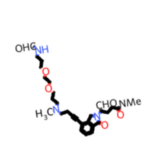 CNC(=O)CCC(C=O)N1Cc2c(C#CCCN(C)CCCOCCOCCCNC=O)cccc2C1=O